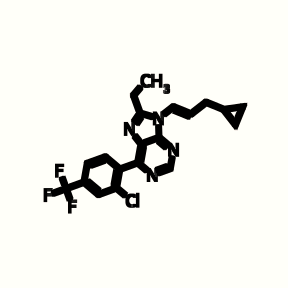 CCc1nc2c(-c3ccc(C(F)(F)F)cc3Cl)ncnc2n1C=CCC1CC1